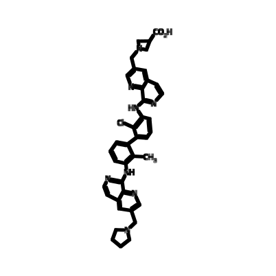 Cc1c(Nc2nccc3cc(CN4CCCC4)cnc23)cccc1-c1cccc(Nc2nccc3cc(CN4CC(C(=O)O)C4)cnc23)c1Cl